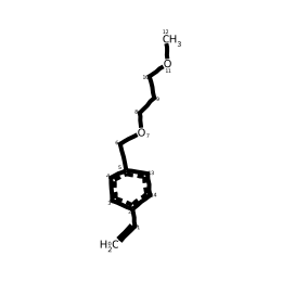 C=Cc1ccc(COCCCOC)cc1